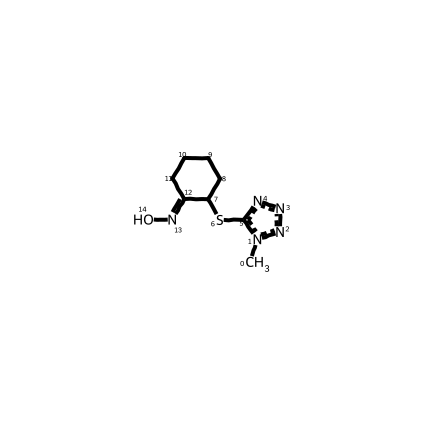 Cn1nnnc1SC1CCCC/C1=N\O